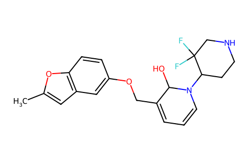 Cc1cc2cc(OCC3=CC=CN(C4CCNCC4(F)F)C3O)ccc2o1